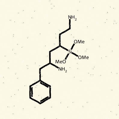 CO[Si](OC)(OC)C(CCN)CC(N)Cc1ccccc1